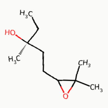 CC[C@](C)(O)CCC1OC1(C)C